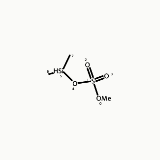 COS(=O)(=O)O[SiH](C)C